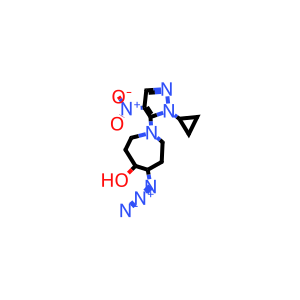 [N-]=[N+]=NC1CCN(c2c([N+](=O)[O-])cnn2C2CC2)CCC1O